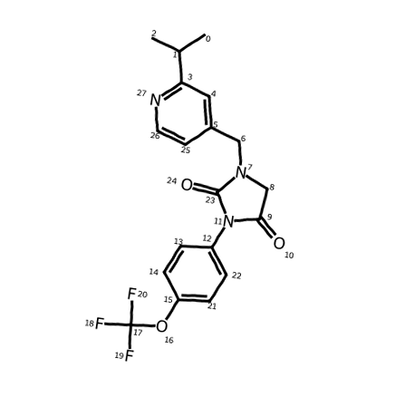 CC(C)c1cc(CN2CC(=O)N(c3ccc(OC(F)(F)F)cc3)C2=O)ccn1